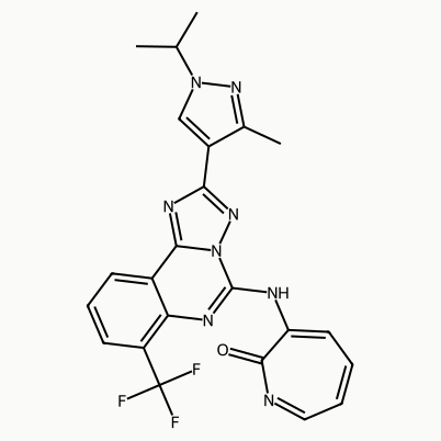 Cc1nn(C(C)C)cc1-c1nc2c3cccc(C(F)(F)F)c3nc(Nc3ccccnc3=O)n2n1